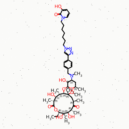 CC[C@H]1OC(=O)[C@H](C)[C@@H](O)[C@H](C)[C@@H](O[C@@H]2O[C@H](C)C[C@H](N(C)Cc3ccc(-c4cn(CCCCCCCn5cccc(O)c5=O)nn4)cc3)[C@H]2O)[C@](C)(OC)C[C@@H](C)C(=O)[C@H](C)[C@@H](O)[C@]1(C)O